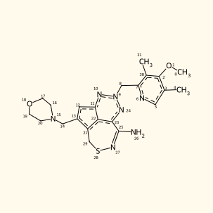 COc1c(C)cnc(Cn2nc3cc(CN4CCOCC4)c4c-3c(n2)C(N)=NSC4)c1C